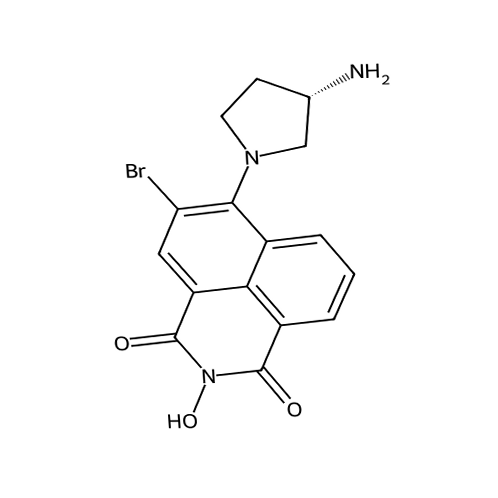 N[C@H]1CCN(c2c(Br)cc3c4c(cccc24)C(=O)N(O)C3=O)C1